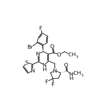 CCOC(=O)C1=C(CN2CC(F)(F)C[C@H]2C(=O)NC)NC(c2nccs2)=N[C@H]1c1ccc(F)cc1Br